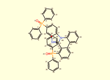 O=P(c1ccccc1)(c1ccccc1)c1ccc2c(c1)nc1c3c(P(=O)(c4ccccc4)c4ccccc4)cccc3c3ccccc3n21